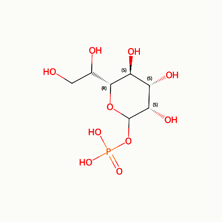 O=P(O)(O)OC1O[C@H](C(O)CO)[C@@H](O)[C@H](O)[C@@H]1O